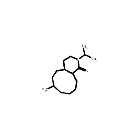 CC1CCCCC2C(=S)N(C(C)C)CCC2CC1